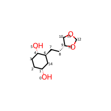 O[C@@H]1CC[C@H](O)[C@@H](CC[C@@H]2COCO2)C1